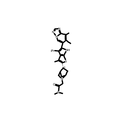 Cc1c(-c2[nH]c3sc([C@@H]4CC5CC4CN5CC(=O)N(C)C)c(C)c3c2C(C)C)cn2ncnc2c1C